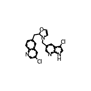 Clc1cnc2ccc(CC3OC=CN3Cc3cnc4[nH]cc(Cl)c4c3)cc2c1